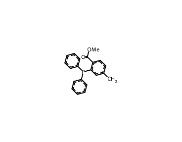 COC(=O)c1ccc(C)cc1P(c1ccccc1)c1ccccc1